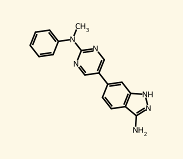 CN(c1ccccc1)c1ncc(-c2ccc3c(N)n[nH]c3c2)cn1